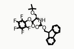 CC(C)(C)OC[C@@H](NC(=O)OCC1c2ccccc2-c2ccccc21)C(=O)Oc1c(F)c(F)c(F)c(F)c1F